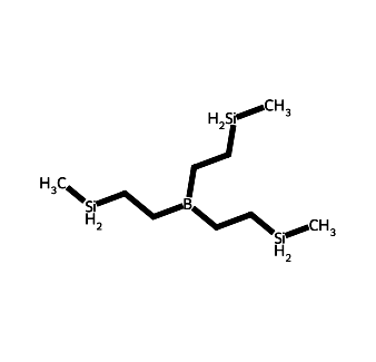 C[SiH2]CCB(CC[SiH2]C)CC[SiH2]C